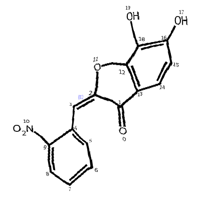 O=C1/C(=C\c2ccccc2[N+](=O)[O-])Oc2c1ccc(O)c2O